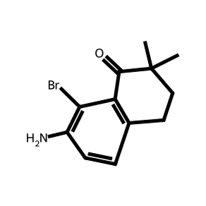 CC1(C)CCc2ccc(N)c(Br)c2C1=O